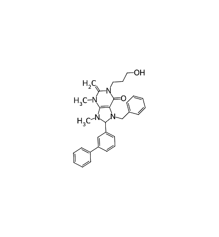 C=C1N(C)C2=C(C(=O)N1CCCO)N(Cc1ccccc1)C(c1cccc(-c3ccccc3)c1)N2C